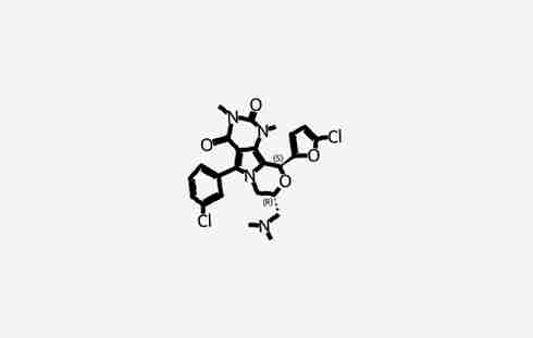 CN(C)C[C@@H]1Cn2c(-c3cccc(Cl)c3)c3c(=O)n(C)c(=O)n(C)c3c2[C@@H](c2ccc(Cl)o2)O1